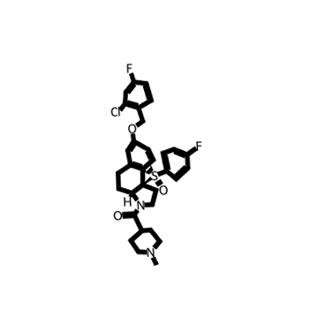 CN1CCC(C(=O)N2CC[C@@]3(S(=O)(=O)c4ccc(F)cc4)c4ccc(OCc5ccc(F)cc5Cl)cc4CC[C@@H]23)CC1